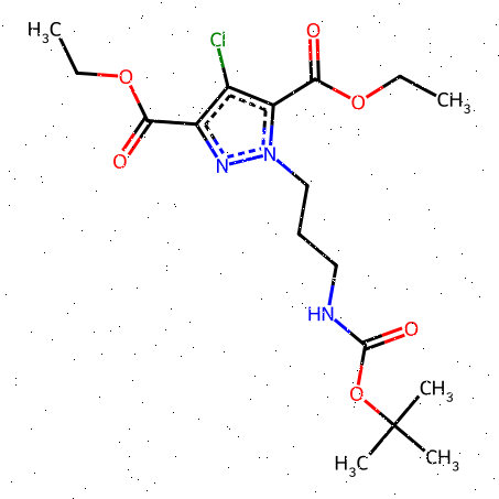 CCOC(=O)c1nn(CCCNC(=O)OC(C)(C)C)c(C(=O)OCC)c1Cl